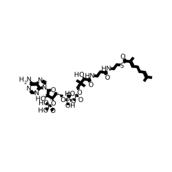 CC(C)=CCCC=C(C)C(=O)SCCNC(=O)CCNC(=O)[C@H](O)C(C)(C)COP(=O)(O)OP(=O)(O)OC[C@H]1O[C@@H](n2cnc3c(N)ncnc32)[C@H](O)[C@@H]1OP(=O)(O)O